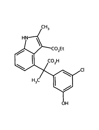 CCOC(=O)c1c(C)[nH]c2cccc(C(C)(C(=O)O)c3cc(O)cc(Cl)c3)c12